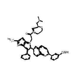 COc1cccc(-c2ccc3cc(-c4c(-c5ccccc5)c5sc(C(=O)O)cc5n4CC(=O)N4CCOC(CN(C)C)C4)ccc3n2)c1